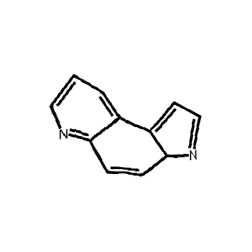 C1=CC2N=CC=C2c2cccnc21